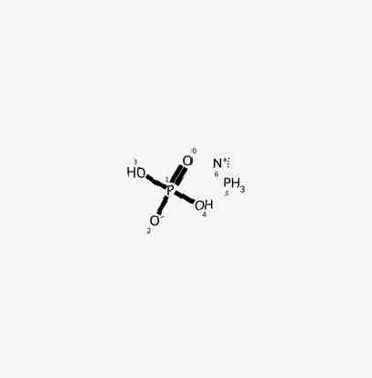 O=P([O-])(O)O.P.[N+]